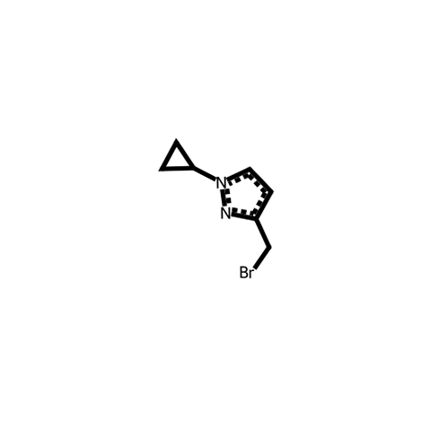 BrCc1ccn(C2CC2)n1